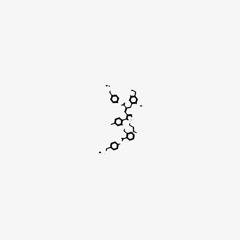 CCCCn1ncc(/C=C(\Cc2cc3c(cc2OC)CCO3)C(=O)Oc2ccc(CO[N+](=O)[O-])cc2)c1-c1ccc(Cl)cc1OCc1ccccc1C(=O)Oc1ccc(CO[N+](=O)[O-])cc1